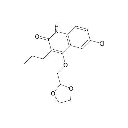 CCCc1c(OCC2OCCO2)c2cc(Cl)ccc2[nH]c1=O